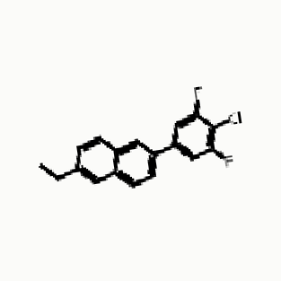 CCc1ccc2cc(-c3cc(F)c(Cl)c(F)c3)ccc2c1